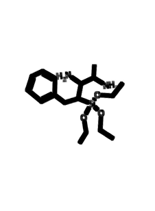 CCO[Si](OCC)(OCC)C(Cc1ccccc1)C(N)C(C)N